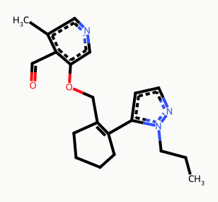 CCCn1nccc1C1=C(COc2cncc(C)c2C=O)CCCC1